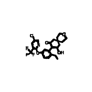 CCc1ccc(Oc2ncc(Cl)cc2C(F)(F)F)cc1C1=C(O)CC2(CCOCC2)CC1=O